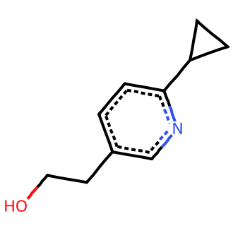 OCCc1ccc(C2CC2)nc1